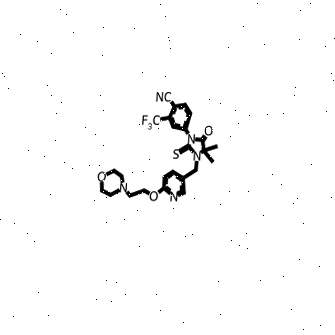 CC1(C)C(=O)N(c2ccc(C#N)c(C(F)(F)F)c2)C(=S)N1Cc1ccc(OCCN2CCOCC2)nc1